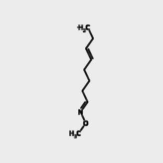 [CH2]CC=CCCCC=NOC